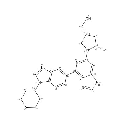 C[C@H]1C[C@@H](CO)CN1c1cc2[nH]cnc2c(-c2ccc3c(c2)ncn3C2CCCCC2)n1